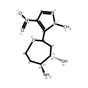 Cn1ncc([N+](=O)[O-])c1C1C[C@H](O)[C@@H](N)CCO1